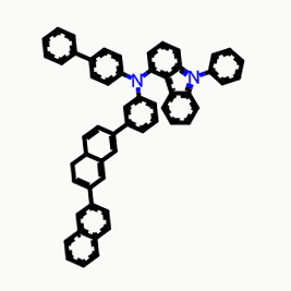 C1=CC2CC=C(c3ccc4ccccc4c3)C=C2C=C1c1cccc(N(c2ccc(-c3ccccc3)cc2)c2cccc3c2c2ccccc2n3-c2ccccc2)c1